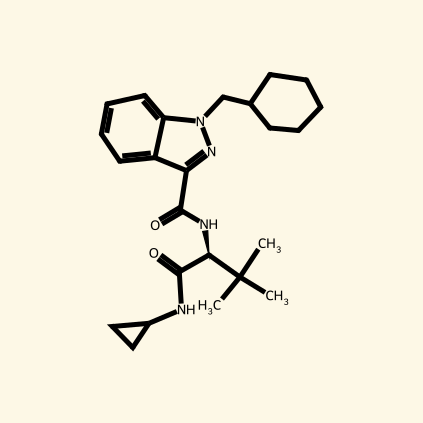 CC(C)(C)[C@H](NC(=O)c1nn(CC2CCCCC2)c2ccccc12)C(=O)NC1CC1